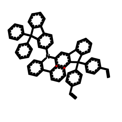 C=Cc1ccc(C2(c3ccc(C=C)cc3)c3ccccc3-c3cc(N(c4ccc5c(c4)C(c4ccccc4)(c4ccccc4)c4ccccc4-5)c4ccccc4-c4ccccc4)ccc32)cc1